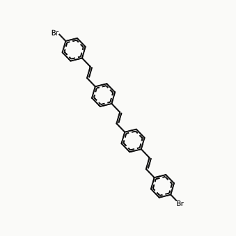 Brc1ccc(C=Cc2ccc(C=Cc3ccc(C=Cc4ccc(Br)cc4)cc3)cc2)cc1